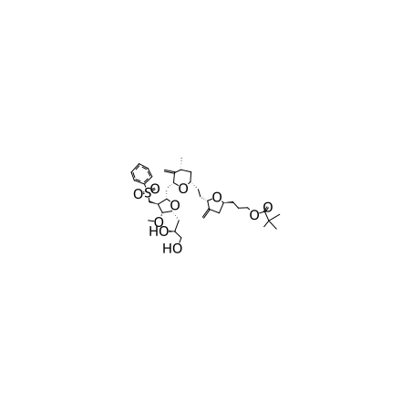 C=C1C[C@H](CCCOC(=O)C(C)(C)C)O[C@H]1CC[C@H]1C[C@@H](C)C(=C)[C@@H](C[C@@H]2O[C@H](C[C@H](O)CO)[C@H](OC)[C@H]2CS(=O)(=O)c2ccccc2)O1